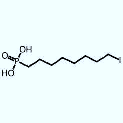 O=P(O)(O)CCCCCCCCI